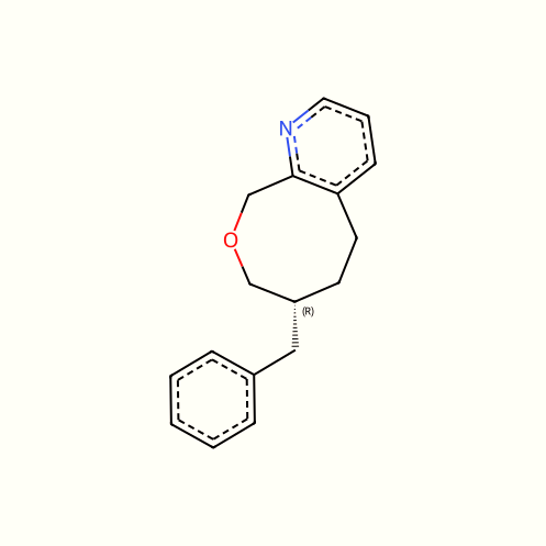 c1ccc(C[C@H]2CCc3cccnc3COC2)cc1